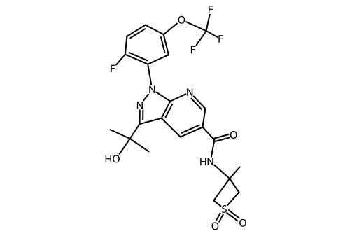 CC1(NC(=O)c2cnc3c(c2)c(C(C)(C)O)nn3-c2cc(OC(F)(F)F)ccc2F)CS(=O)(=O)C1